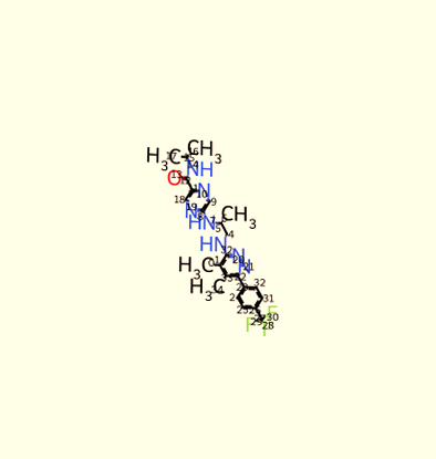 Cc1c(NC[C@@H](C)Nc2cnc(C(=O)NC(C)C)cn2)nnc(-c2ccc(C(F)(F)F)cc2)c1C